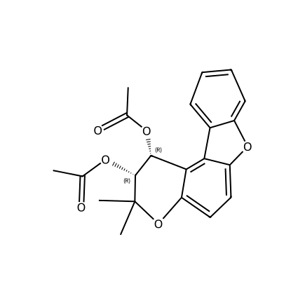 CC(=O)O[C@@H]1c2c(ccc3oc4ccccc4c23)OC(C)(C)[C@@H]1OC(C)=O